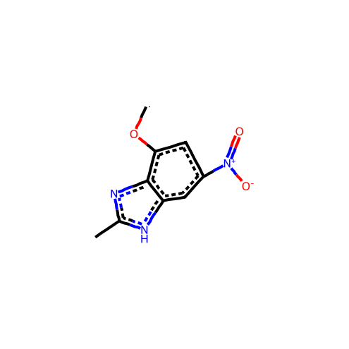 [CH2]Oc1cc([N+](=O)[O-])cc2[nH]c(C)nc12